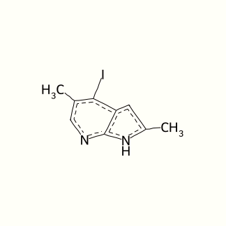 Cc1cc2c(I)c(C)cnc2[nH]1